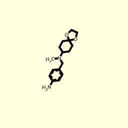 CN(Cc1ccc(N)cc1)C1CCC2(CC1)OCCO2